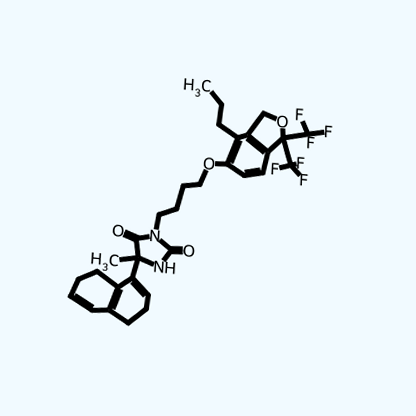 CCCc1c(OCCCCN2C(=O)NC(C)(C3=CCCC4=C3CCC=C4)C2=O)ccc2c1COC2(C(F)(F)F)C(F)(F)F